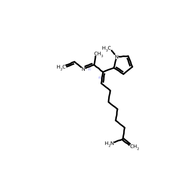 C=C/N=C(C)/C(=C/CCCCCC(=C)N)c1cccn1C